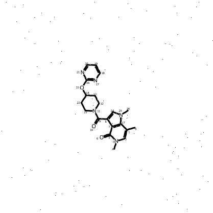 Cc1cn(C)c(=O)c2c(C(=O)N3CCC(Oc4ncccn4)CC3)cn(C)c12